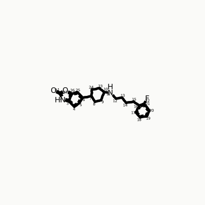 O=c1[nH]c2ccc(C3CCC(NCCCCc4ccccc4F)CC3)cc2o1